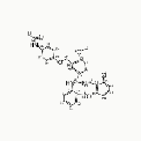 COc1ccc(C2Nc3ccccc3C(=O)N2Cc2ccccc2Cl)cc1COc1ccc(NC(C)=O)cc1